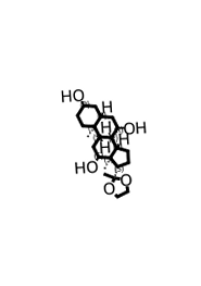 CC1([C@H]2CC[C@H]3[C@@H]4[C@H](O)C[C@@H]5C[C@H](O)CC[C@]5(C)[C@H]4C[C@H](O)[C@]23C)OCCO1